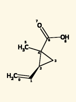 C=C[C@@H]1CC1(C)C(=O)O